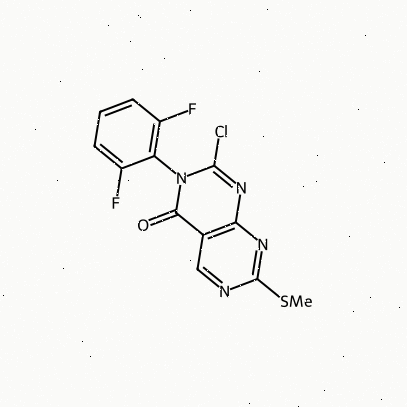 CSc1ncc2c(=O)n(-c3c(F)cccc3F)c(Cl)nc2n1